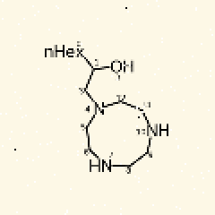 CCCCCCC(O)CN1CCNCCNCC1